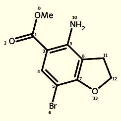 COC(=O)c1cc(Br)c2c(c1N)CCO2